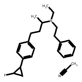 CC#N.CCN(CCc1ccccc1)C(C)CCc1ccc(C2CC2F)cc1